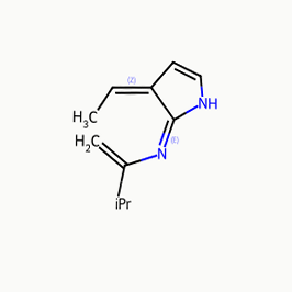 C=C(/N=C1/NC=C/C1=C/C)C(C)C